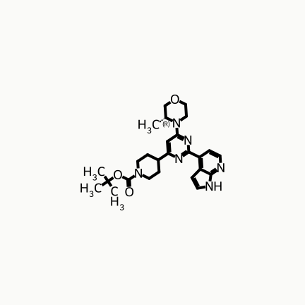 C[C@@H]1COCCN1c1cc(C2CCN(C(=O)OC(C)(C)C)CC2)nc(-c2ccnc3[nH]ccc23)n1